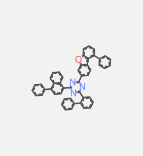 c1ccc(-c2ccccc2-c2nc(-c3ccc4c(c3)oc3cccc(-c5ccccc5)c34)nc(-c3ccc(-c4ccccc4)c4ccccc34)n2)cc1